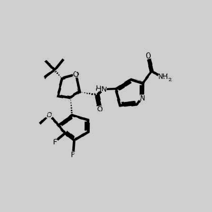 COc1c([C@@H]2C[C@H](C(C)(C)C)O[C@@H]2C(=O)Nc2ccnc(C(N)=O)c2)ccc(F)c1F